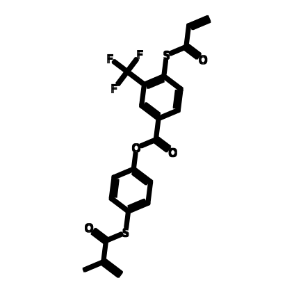 C=CC(=O)Sc1ccc(C(=O)Oc2ccc(SC(=O)C(=C)C)cc2)cc1C(F)(F)F